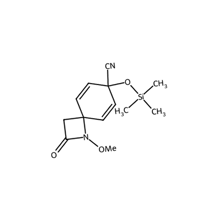 CON1C(=O)CC12C=CC(C#N)(O[Si](C)(C)C)C=C2